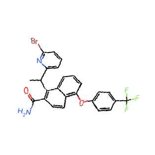 CC(c1cccc(Br)n1)c1c(C(N)=O)ccc2c(Oc3ccc(C(F)(F)F)cc3)cccc12